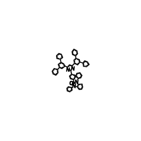 O=P1(c2ccc(-c3nc(-c4cc(-c5ccccc5)cc(-c5ccccc5)c4)cc(-c4cc(-c5ccccc5)cc(-c5ccccc5)c4)n3)cc2)N(c2ccccc2)c2ccccc2N1c1ccccc1